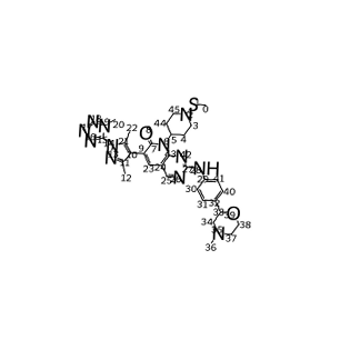 CSN1CCC(n2c(=O)c(-c3c(C)nn(-c4nnnn4C)c3C)cc3cnc(Nc4ccc(C5CN(C)CCO5)cc4)nc32)CC1